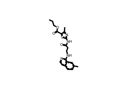 CCCOC(=O)c1sc(NC(=O)CCNc2nccc3ccc(C)cc23)nc1C